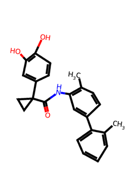 Cc1ccc(-c2ccccc2C)cc1NC(=O)C1(c2ccc(O)c(O)c2)CC1